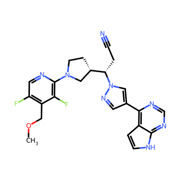 COCc1c(F)cnc(N2CC[C@H]([C@H](CC#N)n3cc(-c4ncnc5[nH]ccc45)cn3)C2)c1F